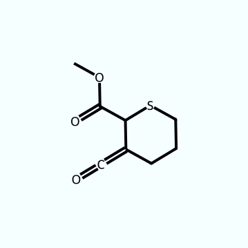 COC(=O)C1SCCCC1=C=O